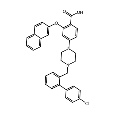 O=C(O)c1ccc(N2CCN(Cc3ccccc3-c3ccc(Cl)cc3)CC2)cc1Oc1ccc2ccccc2c1